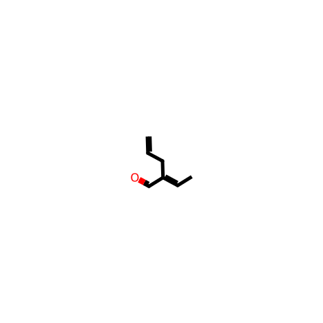 C=CC/C(C=O)=C\C